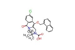 Cn1c(CN(C(=O)O)C(C)(C)C)c(OCc2cccc3ccccc23)c2cc(Cl)ccc2c1=O